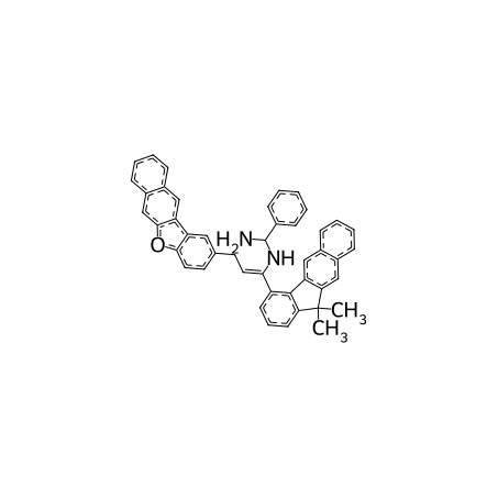 CC1(C)c2cc3ccccc3cc2-c2c(/C(=C/Cc3ccc4oc5cc6ccccc6cc5c4c3)NC(N)c3ccccc3)cccc21